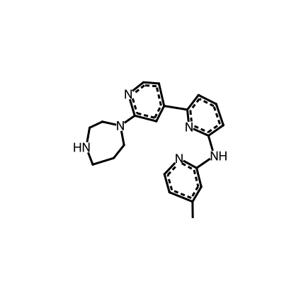 Cc1ccnc(Nc2cccc(-c3ccnc(N4CCCNCC4)c3)n2)c1